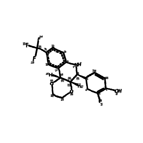 OC1=C(F)CC([C@@H]2Nc3ccc(C(F)(F)F)cc3[C@H]3OCCO[C@H]32)C=C1